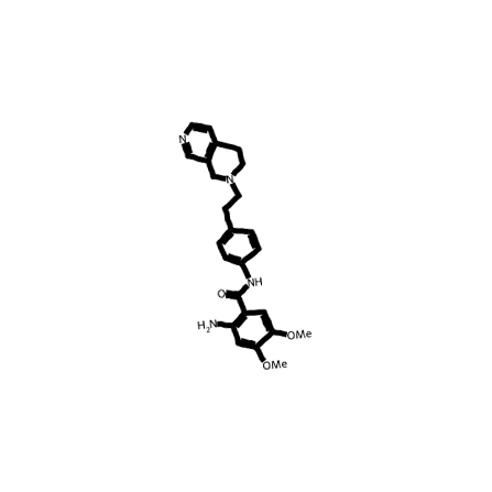 COc1cc(N)c(C(=O)Nc2ccc(CCN3CCc4ccncc4C3)cc2)cc1OC